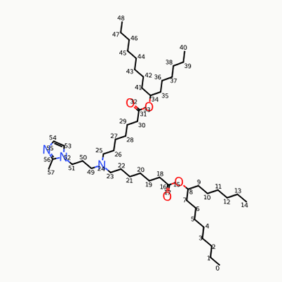 CCCCCCCCC(CCCCCC)OC(=O)CCCCCCN(CCCCCCC(=O)OC(CCCCCC)CCCCCCCC)CCCn1ccnc1C